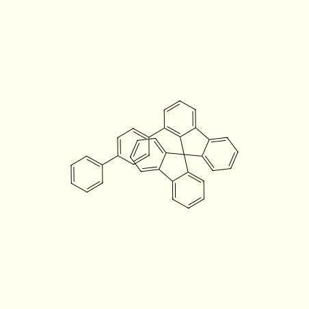 c1ccc(-c2ccc(-c3cccc4c3C3(c5ccccc5-c5ccccc53)c3ccccc3-4)cc2)cc1